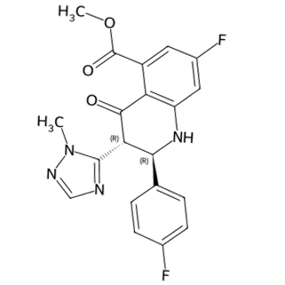 COC(=O)c1cc(F)cc2c1C(=O)[C@@H](c1ncnn1C)[C@H](c1ccc(F)cc1)N2